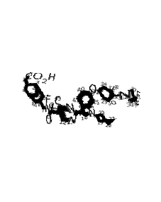 O=C(O)CC1CC2CC(CNC(=O)c3cnc(-c4cn(C5CC6(CC6)C5)c5cc(O[C@H]6CC[C@H](N7CC(F)(F)C7)CC6)ccc45)nc3C(F)(F)F)CC(C1)C2